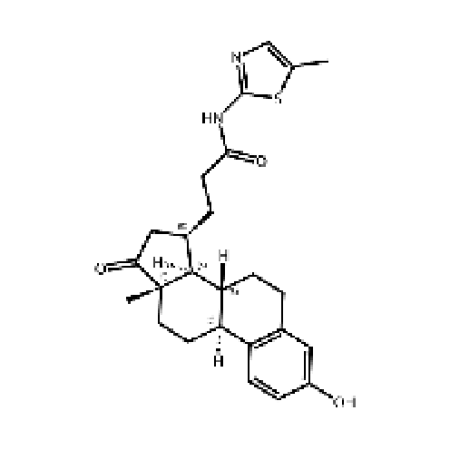 Cc1cnc(NC(=O)CC[C@@H]2CC(=O)[C@@]3(C)CC[C@@H]4c5ccc(O)cc5CC[C@H]4[C@H]23)s1